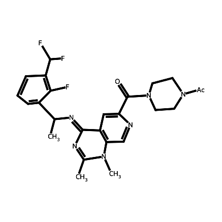 CC(=O)N1CCN(C(=O)c2cc3/c(=N/C(C)c4cccc(C(F)F)c4F)nc(C)n(C)c3cn2)CC1